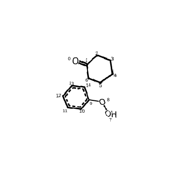 O=C1CCCCC1.OOc1ccccc1